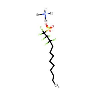 CC[N+](CC)(CC)CC.O=S(=O)([O-])C(F)(F)C(F)(F)C(F)(F)CCCCCCCCC(F)(F)F